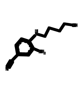 N#Cc1ccc(NCCCCO)c(N)c1